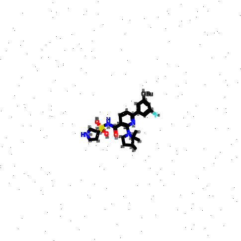 CC(C)COc1cc(F)cc(-c2ccc(C(=O)NS(=O)(=O)C3CCNC3)c(N3CCC(C)C3(C)C)n2)c1